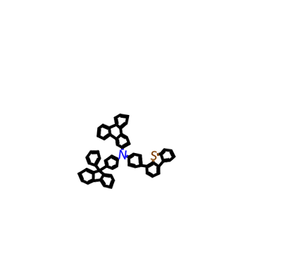 c1ccc(C2(c3ccc(N(c4ccc(-c5cccc6c5sc5ccccc56)cc4)c4ccc5c6ccccc6c6ccccc6c5c4)cc3)c3ccccc3-c3ccccc32)cc1